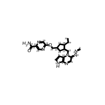 C=N/N=c1/cnc2[nH]ccc2n1CC1CC(COc2cnc(C(N)=O)cn2)CC1CC